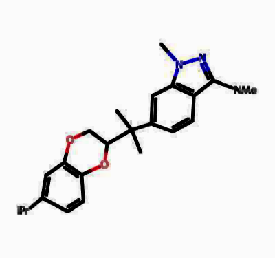 CNc1nn(C)c2cc(C(C)(C)C3COc4cc(C(C)C)ccc4O3)ccc12